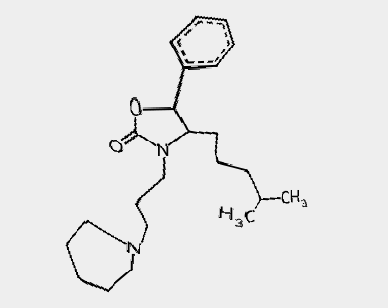 CC(C)CCCC1C(c2ccccc2)OC(=O)N1CCCN1CCCCC1